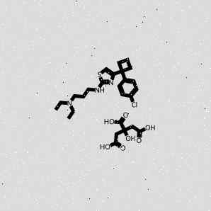 CCN(CC)CCCNc1nc(C2(c3ccc(Cl)cc3)CCC2)cs1.O=C(O)CC(O)(CC(=O)O)C(=O)O